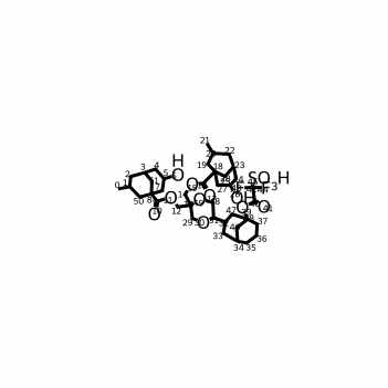 CC1CC2CC(O)CC(C(=O)OCC3(COC(=O)C45CC(C)CC(CC(O)C4)C5)COC(C4CC5CCCC(OC(=O)C(F)(F)S(=O)(=O)O)(C5)C4)CO3)(C1)C2